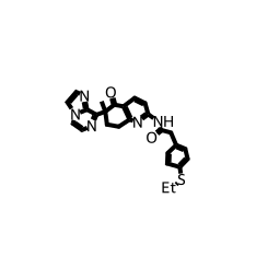 CCSc1ccc(CC(=O)Nc2ccc3c(n2)CCC(C)(c2nccn4ccnc24)C3=O)cc1